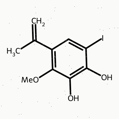 C=C(C)c1cc(I)c(O)c(O)c1OC